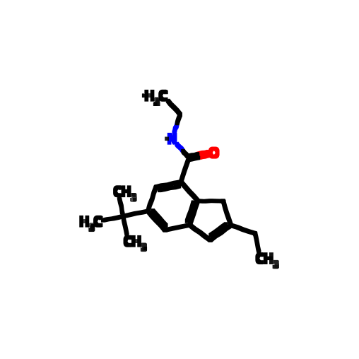 [CH2]C[N]C(=O)c1cc(C(C)(C)C)cc2c1CC(CC)=C2